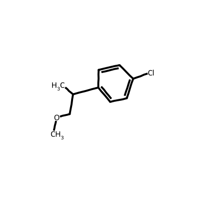 COCC(C)c1ccc(Cl)cc1